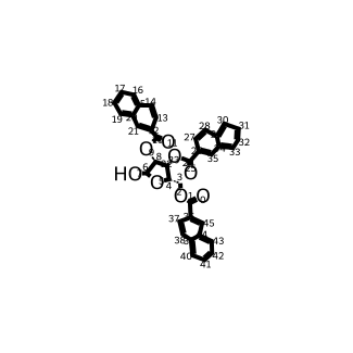 O=C(OC[C@@H]1OC(O)[C@H](OC(=O)c2ccc3ccccc3c2)[C@H]1OC(=O)c1ccc2ccccc2c1)c1ccc2ccccc2c1